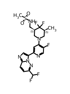 C[C@H]1CN(c2cc(-c3cnc4ccc(C(F)F)nn34)ncc2F)C[C@@H](CNS(C)(=O)=O)C1(F)F